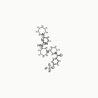 O=C(c1ccc(OC(F)(F)F)cc1)N1CCCC(N2CCCCC(Nc3nccc(N4CCCCCC4)n3)C2)C1